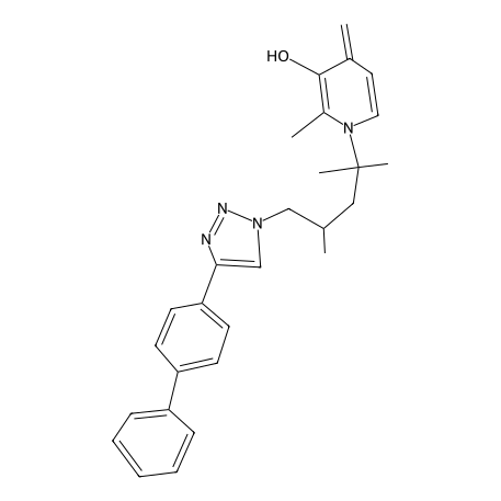 C=C1C=CN(C(C)(C)CC(C)Cn2cc(-c3ccc(-c4ccccc4)cc3)nn2)C(C)=C1O